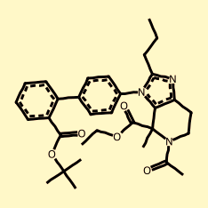 CCCc1nc2c(n1-c1ccc(-c3ccccc3C(=O)OC(C)(C)C)cc1)C(C)(C(=O)OCC)N(C(C)=O)CC2